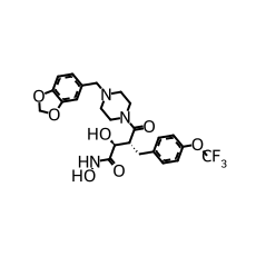 O=C(NO)[C@@H](O)[C@@H](Cc1ccc(OC(F)(F)F)cc1)C(=O)N1CCN(Cc2ccc3c(c2)OCO3)CC1